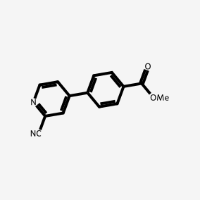 COC(=O)c1ccc(-c2ccnc(C#N)c2)cc1